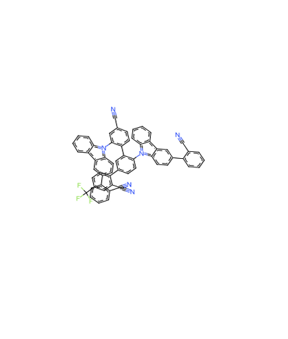 N#Cc1ccc(-c2cc(-c3ccc(C(F)(F)F)cc3C#N)ccc2-n2c3ccccc3c3cc(-c4ccccc4C#N)ccc32)c(-n2c3ccccc3c3cc(-c4ccccc4C#N)ccc32)c1